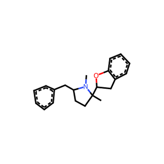 CN1C(Cc2ccccc2)CCC1(C)C1Cc2ccccc2O1